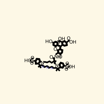 CC[N+]1=C(/C=C/C=C/C=C2\N(CCCCCC(=O)NCc3c4oc5cc(O)ccc5c(-c5ccc(C(=O)O)cc5C(=O)O)c-4ccc3=O)c3ccc(S(=O)(=O)O)cc3C2(C)C)C(C)(C)c2cc(S(=O)(=O)O)ccc21